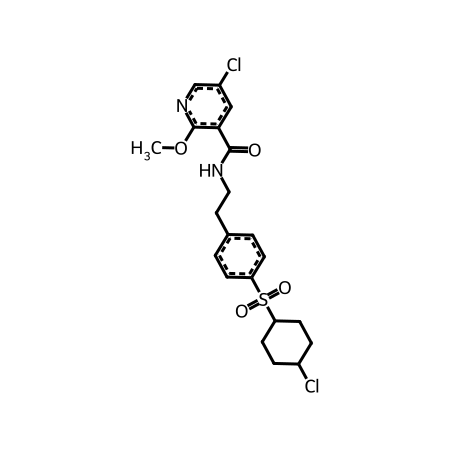 COc1ncc(Cl)cc1C(=O)NCCc1ccc(S(=O)(=O)C2CCC(Cl)CC2)cc1